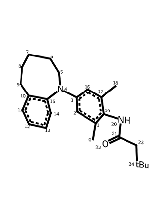 Cc1cc(N2CCCCCc3ccccc32)cc(C)c1NC(=O)CC(C)(C)C